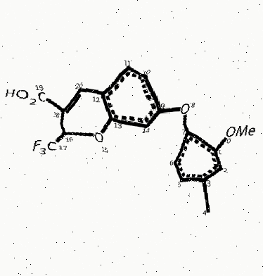 COc1cc(C)ccc1Oc1ccc2c(c1)OC(C(F)(F)F)C(C(=O)O)=C2